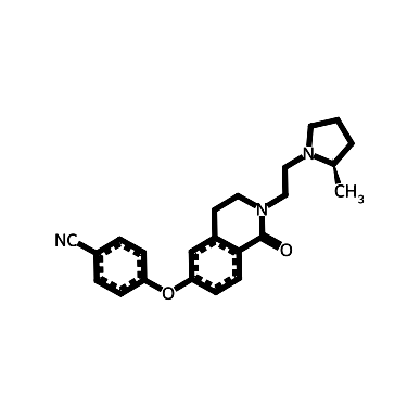 C[C@@H]1CCCN1CCN1CCc2cc(Oc3ccc(C#N)cc3)ccc2C1=O